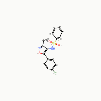 Cc1noc(-c2ccc(Cl)cc2)c1NS(=O)(=O)c1ccccc1